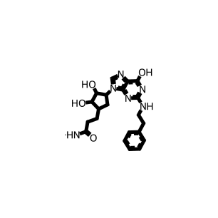 [NH]C(=O)CCC1CC(n2cnc3c(O)nc(NCCc4ccccc4)nc32)C(O)C1O